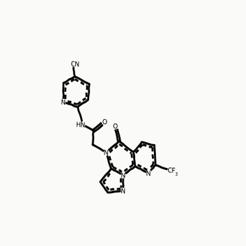 N#Cc1ccc(NC(=O)Cn2c(=O)c3ccc(C(F)(F)F)nc3n3nccc23)nc1